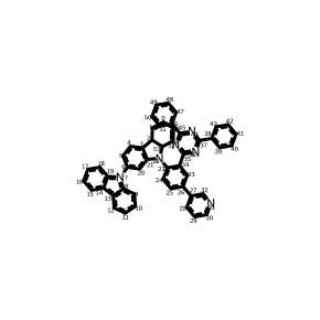 C1=CC2c3ccc(-n4c5ccccc5c5ccccc54)cc3N(c3ccc(-c4cccnc4)cc3-c3nc(-c4ccccc4)nc(-c4ccccc4)n3)C2C=C1